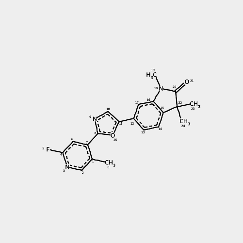 Cc1cnc(F)cc1-c1ncc(-c2ccc3c(c2)N(C)C(=O)C3(C)C)o1